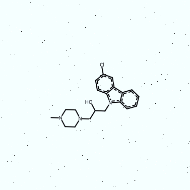 CN1CCN(CC(O)Cn2c3ccccc3c3cc(Cl)ccc32)CC1